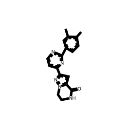 Cc1ccc(-c2nccc(-c3cc4n(n3)CCNC4=O)n2)cc1C